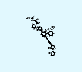 COC(=O)N[C@H](C(=O)N1CCC[C@H]1c1ncc(-c2ccc(C#CC#Cc3cnc([C@@H]4CCCN4)[nH]3)c(-c3ccccc3)c2S)[nH]1)C(C)C.Cl.Cl.Cl